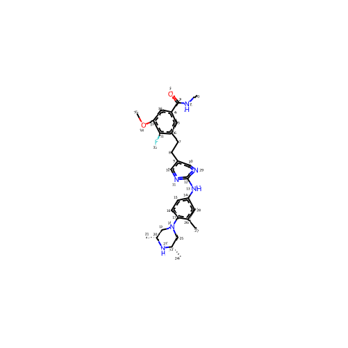 CNC(=O)c1cc(CCc2cnc(Nc3ccc(N4C[C@@H](C)N[C@@H](C)C4)c(C)c3)nc2)c(F)c(OC)c1